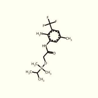 Cc1cc(NC(=O)CO[Si](C)(C)C(C)C)c(N)c(C(F)(F)F)c1